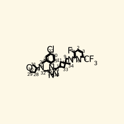 Fc1ccc(C(F)(F)F)nc1N1CC2(CC(c3nnc4n3-c3ccc(Cl)cc3CN([C@@H]3CCOC3)C4)C2)C1